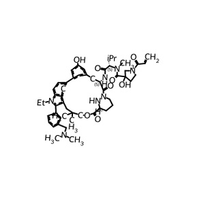 C=CC(=O)N1CCC(O)(C(=O)N(C)[C@H](C(=O)N[C@H]2Cc3cc(O)cc(c3)-c3ccc4c(c3)c(c(-c3cccc(CN(C)C)c3)n4CC)CC(C)(C)COC(=O)[C@@H]3CCCN(N3)C2=O)C(C)C)C1